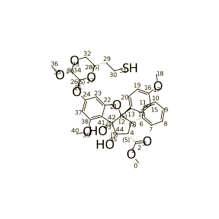 COC(=O)[C@H]1[C@@H](c2ccccc2)[C@@]2(c3ccc(OC)cc3)Oc3cc(O[C@@H]4O[C@@H](CCS)CO[C@H]4OC)cc(OC)c3[C@]2(O)[C@H]1O